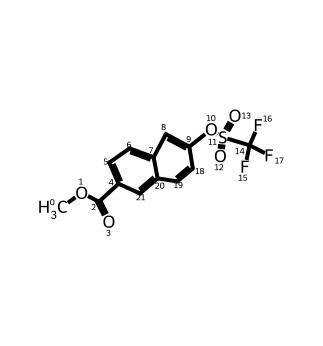 COC(=O)c1ccc2cc(OS(=O)(=O)C(F)(F)F)ccc2c1